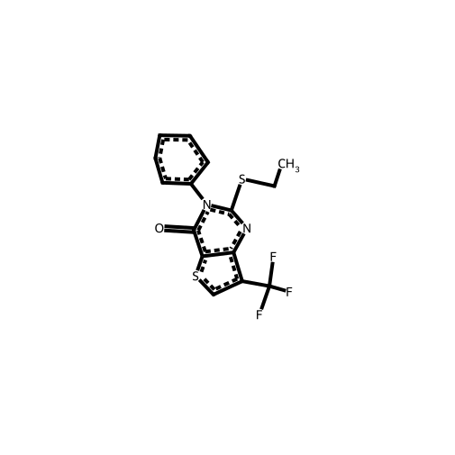 CCSc1nc2c(C(F)(F)F)csc2c(=O)n1-c1ccccc1